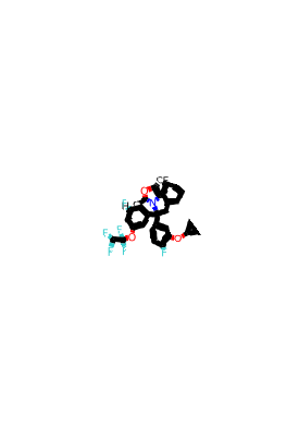 CC1OC(C(F)(F)F)=CN1C(Cc1ccccc1)(c1cc(F)cc(OC(F)(F)C(F)F)c1)c1ccc(F)c(OC2CC2)c1